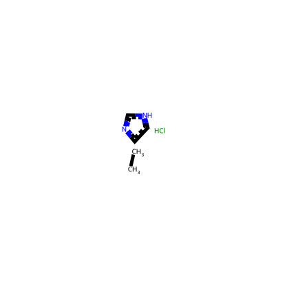 CC.Cl.c1c[nH]cn1